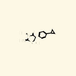 C[C@@H]1NC(=N)N(C)C(=O)[C@@H]1c1ccc(C2CC2)cc1